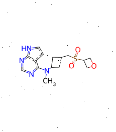 CN(c1ncnc2[nH]ccc12)C1CC(CS(=O)(=O)C2COC2)C1